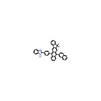 CC1(C)c2ccccc2-c2cc3c(-c4ccc(-c5nc6ccccc6[nH]5)cc4)c4ccccc4c(-c4ccc5ccccc5c4)c3cc21